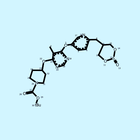 Cc1c(Oc2ccc(CC3COS(=O)OC3)nc2)ncnc1OC1CCN(C(=O)OC(C)(C)C)CC1